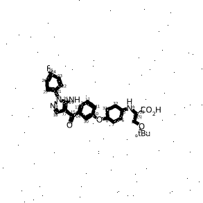 CC(C)(C)OC[C@H](NC1CCC(Oc2cccc(C(=O)c3cnn(-c4ccc(F)cc4)c3N)c2)CC1)C(=O)O